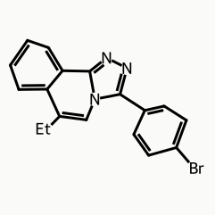 CCc1cn2c(-c3ccc(Br)cc3)nnc2c2ccccc12